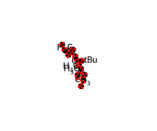 Cc1cccc(N(c2ccc3c(c2)C(C)(C)c2c-3c3cc(C(C)(C)C)cc4c5c6ccc(N(c7cccc(C)c7)c7cccc8c7oc7cc(-c9ccccc9)ccc78)cc6oc5n2c34)c2cccc3c2oc2cc(-c4ccccc4)ccc23)c1